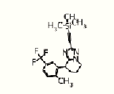 Cc1ccc(C(F)(F)F)cc1C1CCCn2nc(C#C[Si](C)(C)C)nc21